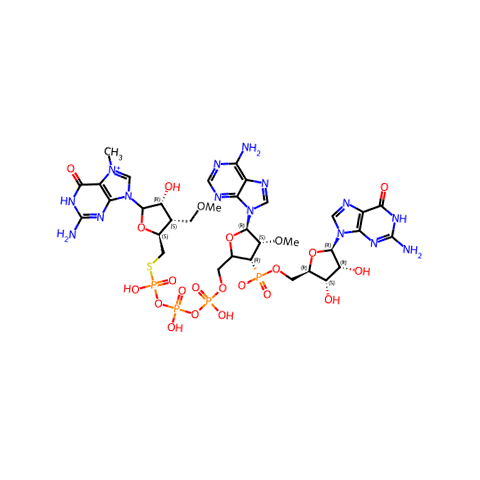 COC[C@@H]1[C@@H](CSP(=O)(O)OP(=O)(O)OP(=O)(O)OCC2O[C@@H](n3cnc4c(N)ncnc43)[C@H](OC)[C@@H]2P(=O)([O-])OC[C@H]2O[C@@H](n3cnc4c(=O)[nH]c(N)nc43)[C@H](O)[C@@H]2O)OC(n2c[n+](C)c3c(=O)[nH]c(N)nc32)[C@@H]1O